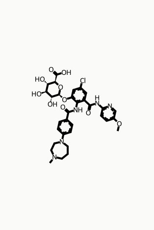 COc1ccc(NC(=O)c2cc(Cl)cc(O[C@@H]3O[C@H](C(=O)O)[C@@H](O)[C@H](O)[C@H]3O)c2NC(=O)c2ccc(N3CCCN(C)CC3)cc2)nc1